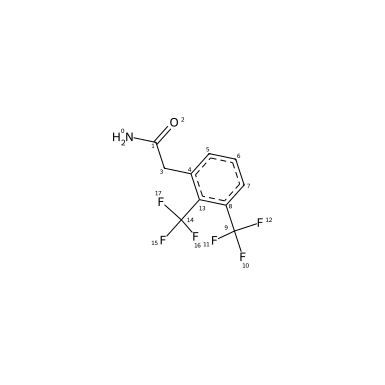 NC(=O)Cc1cccc(C(F)(F)F)c1C(F)(F)F